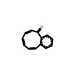 O=C1C=CC=CC=Cc2ccccc21